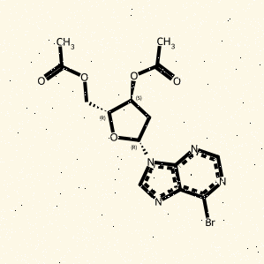 CC(=O)OC[C@H]1O[C@@H](n2cnc3c(Br)ncnc32)C[C@@H]1OC(C)=O